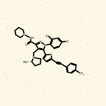 N#C[C@H]1CCCN1Cc1c(C(=O)NN2CCCCC2)nn(-c2ccc(Cl)cc2Cl)c1-c1ccc(C#Cc2ccc(C(F)(F)F)cc2)s1